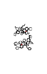 CCCC1N=C(c2ccc(OC)cc2OCC)N(C(=O)N2CCN(C)CC2)C1c1ccc(Cl)cc1.CCOc1cc(OC)ccc1C1=NC(CC2CCCC2)C(c2ccc(Cl)cc2)N1C(=O)N1CCC(N2CCCC2)CC1